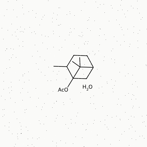 CC(=O)OC12CC(CCC1C)C2(C)C.O